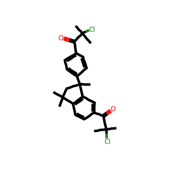 CC(C)(Cl)C(=O)c1ccc(C2(C)CC(C)(C)c3ccc(C(=O)C(C)(C)Cl)cc32)cc1